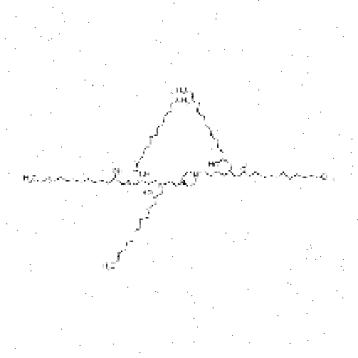 CCCCCCCCCCCCC(O)CN(CCCCN(CC(O)CCCCCCCCCCCC)CC(O)CCCCCCCCCCCC)CCN1CCN(CCCCN(CC(O)CCCCCCCCCCCC)CC(O)CCCCCCCCCCCC)CC1